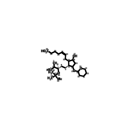 CCCCC(C)[C@H](CC[C@H]1C(OC2CCCCO2)C[C@H](O)[C@@H]1C/C=C\CCCC(=O)O)O[Si](C)(C)C(C)(C)C